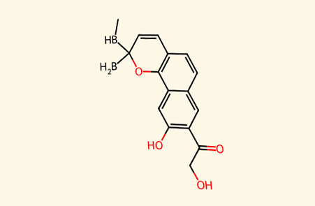 BC1(BC)C=Cc2ccc3cc(C(=O)CO)c(O)cc3c2O1